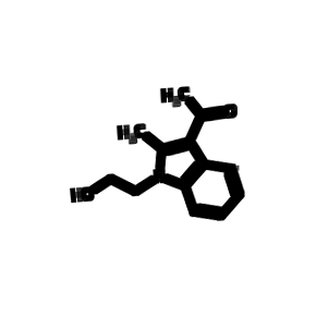 CC(=O)c1c(C)n(CCO)c2ccc[c]c12